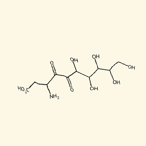 NC(CC(=O)O)C(=O)C(=O)C(O)C(O)C(O)C(O)CO